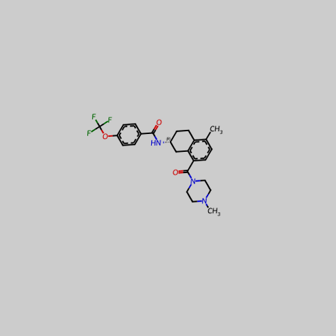 Cc1ccc(C(=O)N2CCN(C)CC2)c2c1CC[C@@H](NC(=O)c1ccc(OC(F)(F)F)cc1)C2